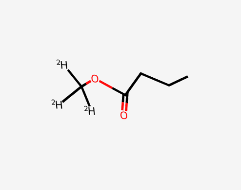 [2H]C([2H])([2H])OC(=O)CCC